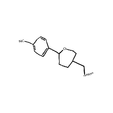 CCCCCCCCCCC1CCC(c2ccc(C#N)cc2)OC1